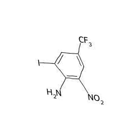 Nc1c(I)cc(C(F)(F)F)cc1[N+](=O)[O-]